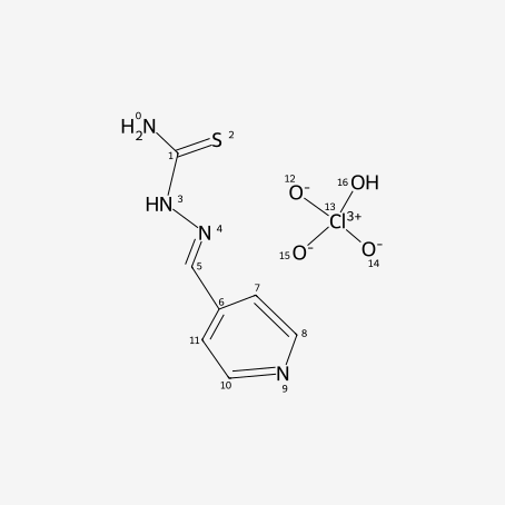 NC(=S)NN=Cc1ccncc1.[O-][Cl+3]([O-])([O-])O